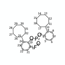 FOP(Oc1ccccc1C1CCCCCCC1)Oc1ccccc1C1CCCCCCC1